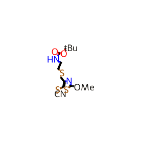 COc1nc(CSCCNC(=O)OC(C)(C)C)c(SC#N)s1